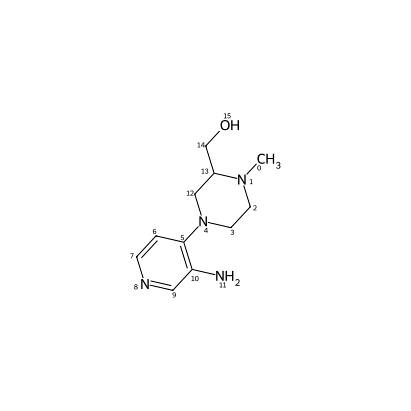 CN1CCN(c2ccncc2N)CC1CO